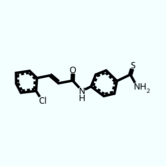 NC(=S)c1ccc(NC(=O)C=Cc2ccccc2Cl)cc1